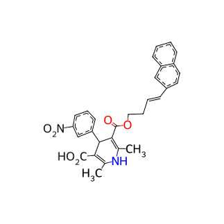 CC1=C(C(=O)O)C(c2cccc([N+](=O)[O-])c2)C(C(=O)OCCC=Cc2ccc3ccccc3c2)=C(C)N1